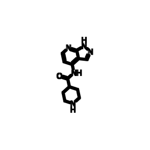 O=C(Nc1ccnc2[nH]ncc12)C1CCNCC1